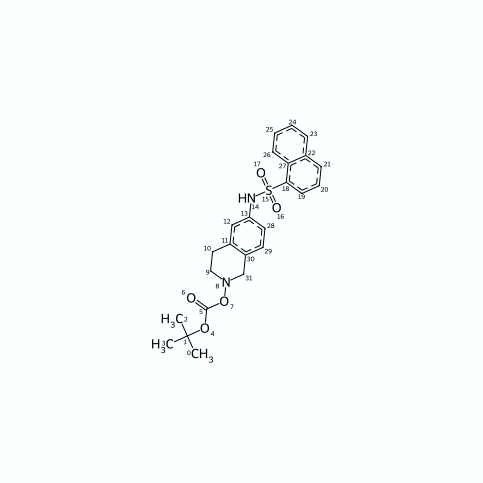 CC(C)(C)OC(=O)ON1CCc2cc(NS(=O)(=O)c3cccc4ccccc34)ccc2C1